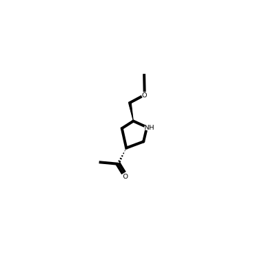 COC[C@@H]1C[C@@H](C(C)=O)CN1